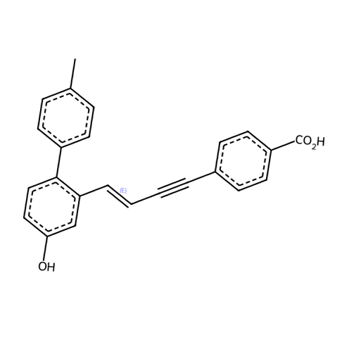 Cc1ccc(-c2ccc(O)cc2/C=C/C#Cc2ccc(C(=O)O)cc2)cc1